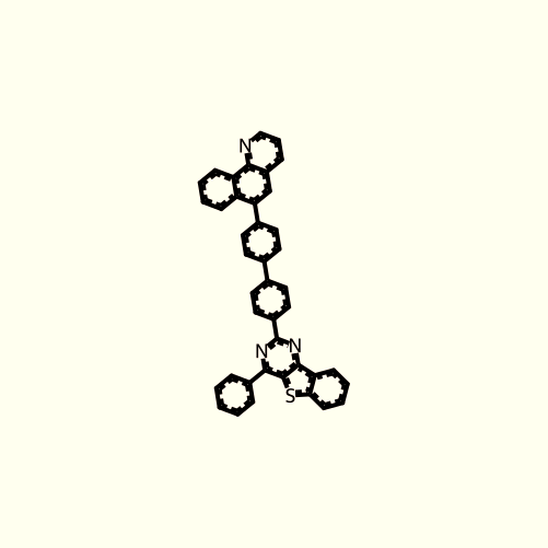 c1ccc(-c2nc(-c3ccc(-c4ccc(-c5cc6cccnc6c6ccccc56)cc4)cc3)nc3c2sc2ccccc23)cc1